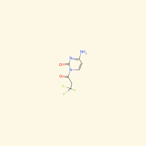 Nc1ccn(C(=O)CC(F)(F)F)c(=O)n1